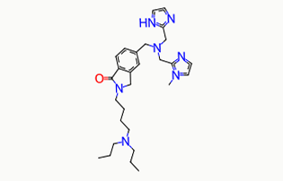 CCCN(CCC)CCCCN1Cc2cc(CN(Cc3ncc[nH]3)Cc3nccn3C)ccc2C1=O